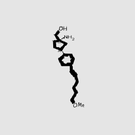 COCCCCC#Cc1ccc([C@@H]2CC[C@@](N)(CO)C2)cc1